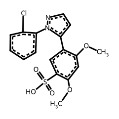 COc1cc(OC)c(S(=O)(=O)O)cc1-c1ccnn1-c1ccccc1Cl